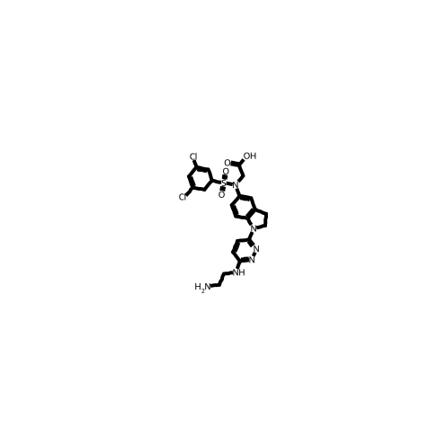 NCCNc1ccc(N2CCc3cc(N(CC(=O)O)S(=O)(=O)C4C=C(Cl)C=C(Cl)C4)ccc32)nn1